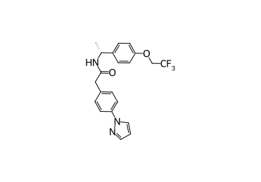 C[C@@H](NC(=O)Cc1ccc(-n2cccn2)cc1)c1ccc(OCC(F)(F)F)cc1